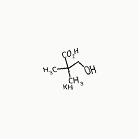 CC(C)(CO)C(=O)O.[KH]